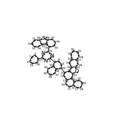 c1ccc(-c2nc(-c3ccc(-c4cc5ccc6ccccc6c5c5oc6cc7ccccc7cc6c45)c4ccccc34)nc(-c3cccc4sc5ccccc5c34)n2)cc1